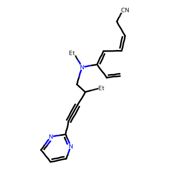 C=C/C(=C\C=C/CC#N)N(CC)CC(C#Cc1ncccn1)CC